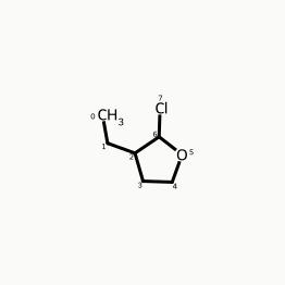 CCC1CCOC1Cl